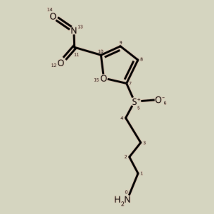 NCCCC[S+]([O-])c1ccc(C(=O)N=O)o1